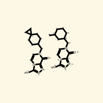 CCCc1nnc2c(=O)n(CC3CCC4(CC3)CC4)ccn12.CCCc1nnc2c(=O)n(CC3CCCC(C)C3)ccn12